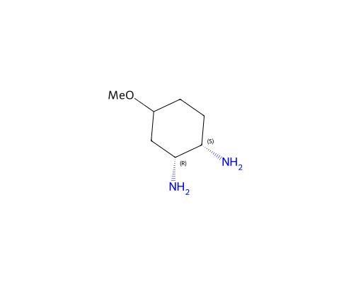 COC1CC[C@H](N)[C@H](N)C1